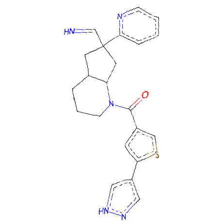 N=CC1(c2ccccn2)CC2CCCN(C(=O)c3csc(-c4cn[nH]c4)c3)C2C1